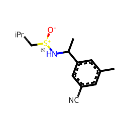 Cc1cc(C#N)cc(C(C)N[S@+]([O-])CC(C)C)c1